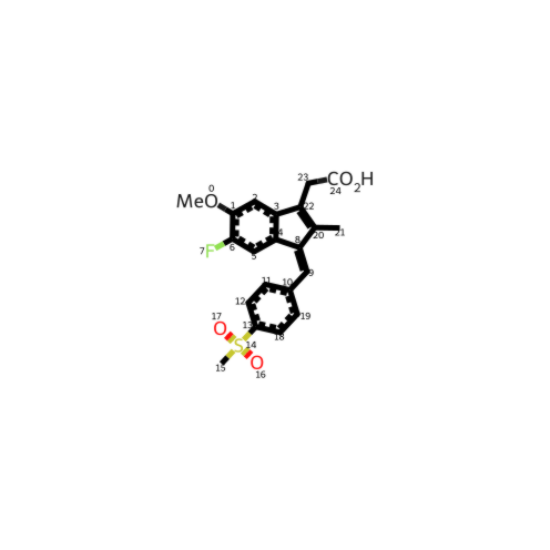 COc1cc2c(cc1F)/C(=C\c1ccc(S(C)(=O)=O)cc1)C(C)=C2CC(=O)O